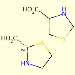 O=C(O)C1CSCN1.O=C(O)[C@H]1NCCS1